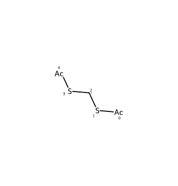 CC(=O)S[CH]SC(C)=O